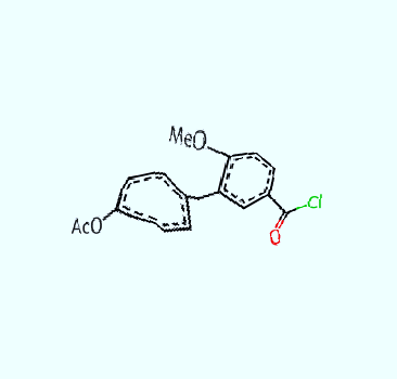 COc1ccc(C(=O)Cl)cc1-c1ccc(OC(C)=O)cc1